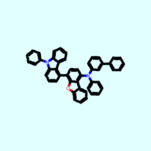 c1ccc(-c2cccc(N(c3ccccc3)c3ccc(-c4cccc5c4c4ccccc4n5-c4ccccc4)c4oc5ccccc5c34)c2)cc1